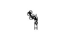 Cc1c(C(=O)NCC2COCCO2)ccc2nn(CC3CCNCC3)cc12